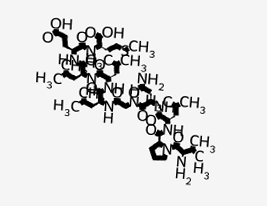 CSCC[C@H](NC(=O)[C@H](CCC(=O)O)NC(=O)[C@H](CC(C)C)NC(=O)[C@H](CC(C)C)NC(=O)[C@H](CC(C)C)NC(=O)CNC(=O)[C@H](CC(N)=O)NC(=O)[C@H](CC(C)C)NC(=O)[C@@H]1CCCN1C(=O)[C@@H](N)C(C)C)C(=O)O